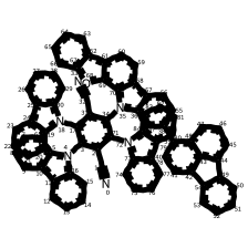 N#Cc1c(-n2c3ccccc3c3ccccc32)c(-n2c3ccccc3c3ccccc32)c(C#N)c(-n2c3cc(-c4ccc5c6c(cccc46)-c4ccccc4-5)ccc3c3ccc4c5ccccc5oc4c32)c1-n1c2ccccc2c2ccccc21